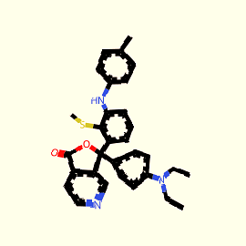 CCN(CC)c1ccc(C2(c3cccc(Nc4ccc(C)cc4)c3SC)OC(=O)c3ccncc32)cc1